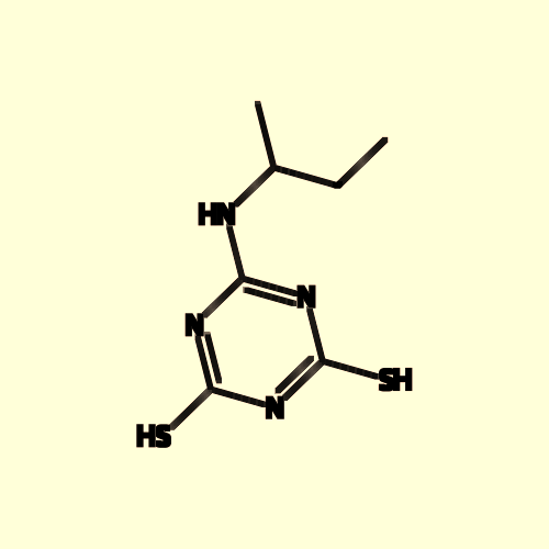 CCC(C)Nc1nc(S)nc(S)n1